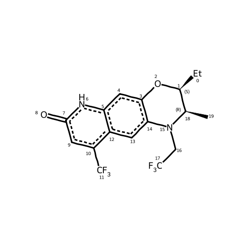 CC[C@@H]1Oc2cc3[nH]c(=O)cc(C(F)(F)F)c3cc2N(CC(F)(F)F)[C@@H]1C